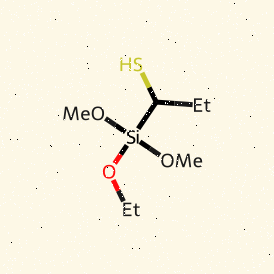 CCO[Si](OC)(OC)C(S)CC